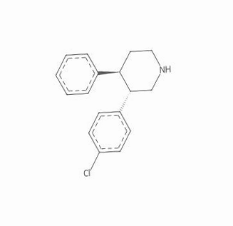 Clc1ccc([C@H]2CNCC[C@@H]2c2ccccc2)cc1